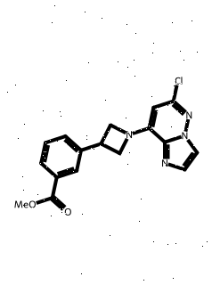 COC(=O)c1cccc(C2CN(c3cc(Cl)nn4ccnc34)C2)c1